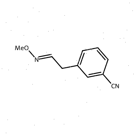 CON=CCc1cccc(C#N)c1